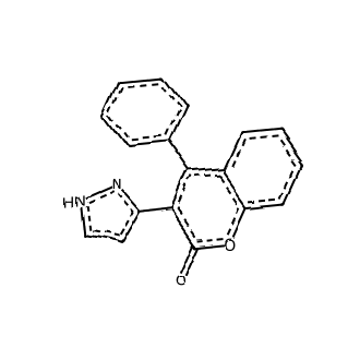 O=c1oc2ccccc2c(-c2ccccc2)c1-c1cc[nH]n1